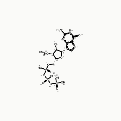 Nc1nc2c(ncn2[C@@H]2O[C@H](COP(=O)(O)OP(=O)(O)OP(=O)(O)O)[C@@H](O)[C@H]2O)c(=O)[nH]1.[NaH]